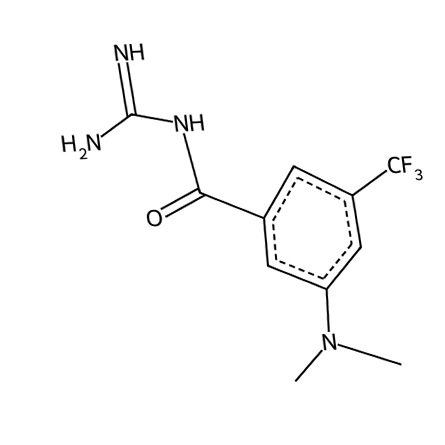 CN(C)c1cc(C(=O)NC(=N)N)cc(C(F)(F)F)c1